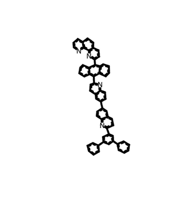 c1ccc(-c2cc(-c3ccccc3)cc(-c3ccc4cc(-c5ccc6nc(-c7c8ccccc8c(-c8ccc9ccc%10cccnc%10c9n8)c8ccccc78)ccc6c5)ccc4n3)c2)cc1